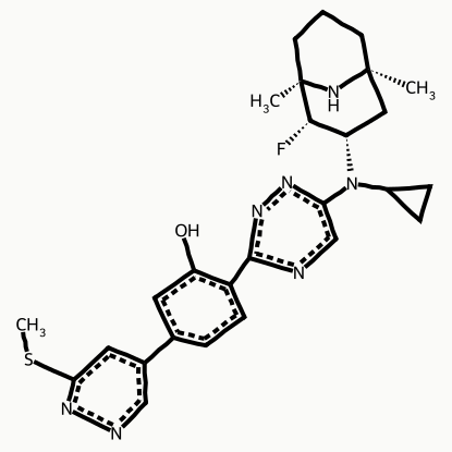 CSc1cc(-c2ccc(-c3ncc(N(C4CC4)[C@H]4C[C@]5(C)CCC[C@@](C)(N5)[C@H]4F)nn3)c(O)c2)cnn1